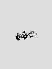 CCN(CC)c1ccc(/C=C/c2scc[n+]2C)c(OC)c1